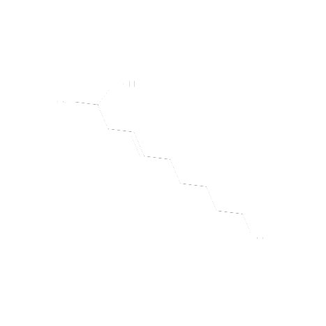 CCCCCCCCC(C/C=C/CCCCCC(=O)O)S(=O)(=O)O